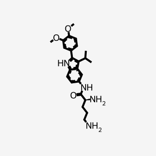 COc1ccc(-c2[nH]c3ccc(NC(=O)[C@@H](N)CCCN)cc3c2C(C)C)cc1OC